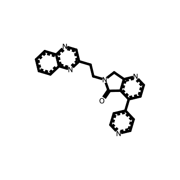 O=C1c2c(-c3ccncc3)ccnc2CN1CCc1cnc2ccccc2n1